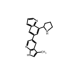 Cc1c[nH]c2ncc(-c3cc(C4CCCN4)c4ncccc4c3)cc12